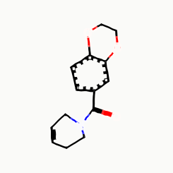 O=C(c1ccc2c(c1)OCCO2)N1CC=CCC1